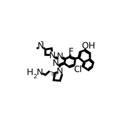 CN(C)C1CN(c2nc(N3CCC[C@@H]3CCN)c3cc(Cl)c(-c4cc(O)cc5ccccc45)c(F)c3n2)C1